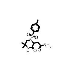 Cc1ccc(S(=O)(=O)N2CC(C)(C)NC(=O)C2CC(N)=O)cc1